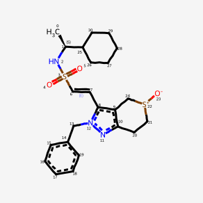 C[C@H](NS(=O)(=O)/C=C/c1c2c(nn1Cc1ccccc1)CC[S+]([O-])C2)C1CCCCC1